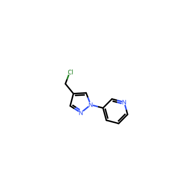 ClCc1cnn(-c2cccnc2)c1